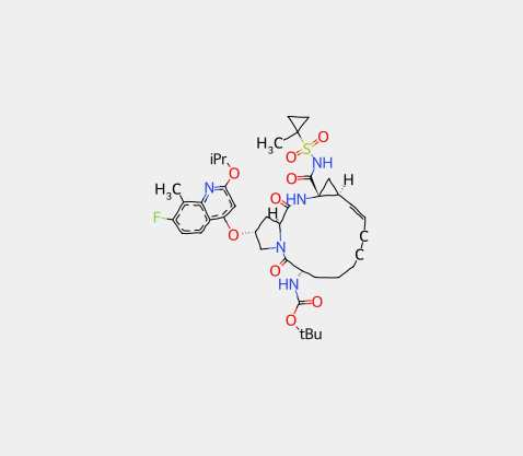 Cc1c(F)ccc2c(O[C@@H]3C[C@H]4C(=O)N[C@]5(C(=O)NS(=O)(=O)C6(C)CC6)C[C@H]5/C=C\CCCCC[C@H](NC(=O)OC(C)(C)C)C(=O)N4C3)cc(OC(C)C)nc12